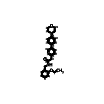 CCOc1ccccc1CNC(=O)Cc1ccc(-c2ccc(N3CCOCC3)cc2)cn1